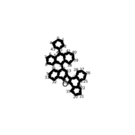 c1ccc(-c2c3ccccc3c(-c3cc4c(oc5c6ccccc6c6ccccc6c45)c4ccccc34)c3ccccc23)cc1